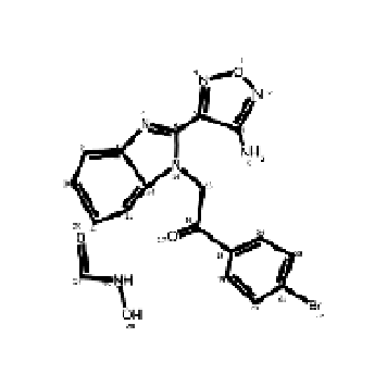 Nc1nonc1-c1nc2ccccc2n1CC(=O)c1ccc(Br)cc1.O=CNO